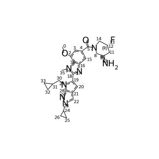 COc1cc(C(=O)N2C[C@H](N)C[C@@H](F)C2)cc2nc(-c3cc4cn(C5CC5)nc4n3CC3CC3)n(C)c12